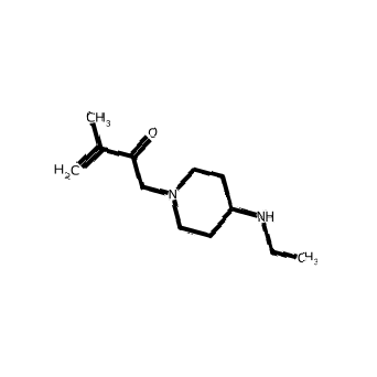 C=C(C)C(=O)CN1CCC(NCC)CC1